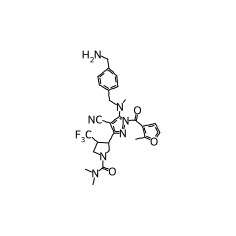 Cc1occc1C(=O)n1nc(C2CN(C(=O)N(C)C)CC2C(F)(F)F)c(C#N)c1N(C)Cc1ccc(CN)cc1